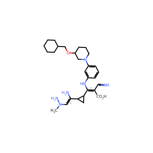 CN(N)/C=C(\N)C1CC1/C(Nc1cccc(N2CCCC(OCC3CCCCC3)C2)c1)=C(/C=N)C(=O)O